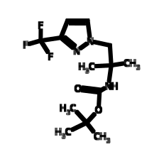 CC(C)(Cn1ccc(C(F)(F)F)n1)NC(=O)OC(C)(C)C